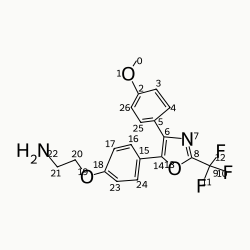 COc1ccc(-c2nc(C(F)(F)F)oc2-c2ccc(OCCN)cc2)cc1